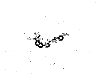 C=CC(=O)Nc1c(COC)ccc2ccc(-c3cccc(C(=O)NCC(=O)Nc4cccc(OC)c4)n3)cc12